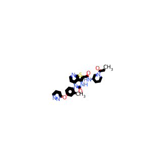 CCC(=O)N1CCC[C@@H](NC(=O)c2sc3nccc4c3c2NC(=O)N4c2ccc(Oc3cccnn3)cc2C)C1